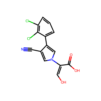 N#Cc1cn(C(=CO)C(=O)O)cc1-c1cccc(Cl)c1Cl